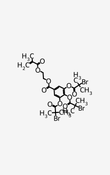 C=C(C)C(=O)OCCOC(=O)c1cc(OC(=O)C(C)(C)Br)c(OC(=O)C(C)(C)Br)c(OC(=O)C(C)(C)Br)c1